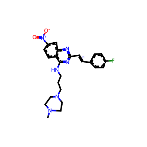 CN1CCN(CCCNc2nc(/C=C/c3ccc(F)cc3)nc3cc([N+](=O)[O-])ccc23)CC1